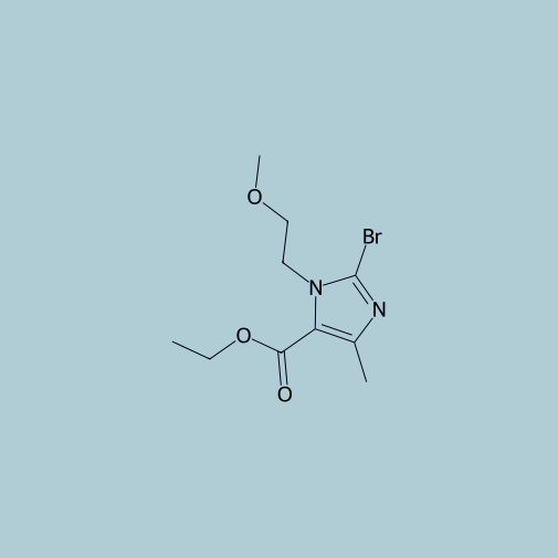 CCOC(=O)c1c(C)nc(Br)n1CCOC